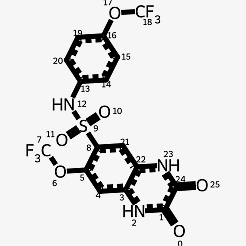 O=c1[nH]c2cc(OC(F)(F)F)c(S(=O)(=O)Nc3ccc(OC(F)(F)F)cc3)cc2[nH]c1=O